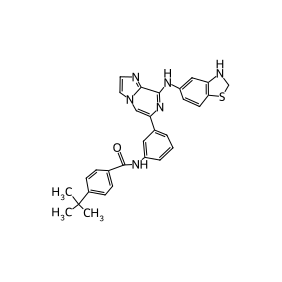 CC(C)(C)c1ccc(C(=O)Nc2cccc(-c3cn4ccnc4c(Nc4ccc5c(c4)NCS5)n3)c2)cc1